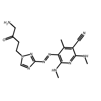 CNc1nc(NC)c(/N=N/c2ncn(CCC(=O)CN)n2)c(C)c1C#N